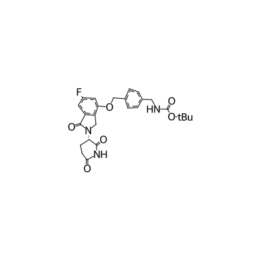 CC(C)(C)OC(=O)NCc1ccc(COc2cc(F)cc3c2CN([C@H]2CCC(=O)NC2=O)C3=O)cc1